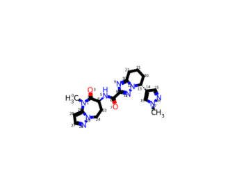 CN1C(=O)[C@@H](NC(=O)c2nc3n(n2)[C@@H](c2cnn(C)c2)CCC3)CCn2nccc21